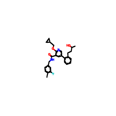 Cc1ccc(CNC(=O)c2cc(-c3ccccc3CCC(C)O)cnc2OCC2CC2)cc1F